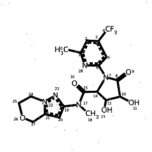 Cc1cc(C(F)(F)F)cc(N2C(=O)C(O)C(O)C2C(=O)N(C)c2cc3n(n2)CCOC3)n1